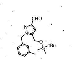 Cc1cccc(Cn2nc(C=O)cc2CO[Si](C)(C)C(C)(C)C)c1